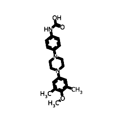 COc1c(C)cc(N2CCN(c3ccc(NC(=O)O)cc3)CC2)cc1C